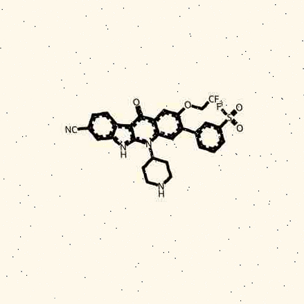 N#Cc1ccc2c(c1)[nH]c1c2c(=O)c2cc(OCC(F)(F)F)c(-c3cccc(S(=O)(=O)F)c3)cc2n1C1CCNCC1